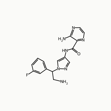 NCC(c1cccc(F)c1)n1cc(NC(=O)c2nccnc2N)cn1